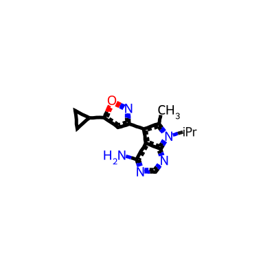 Cc1c(-c2cc(C3CC3)on2)c2c(N)ncnc2n1C(C)C